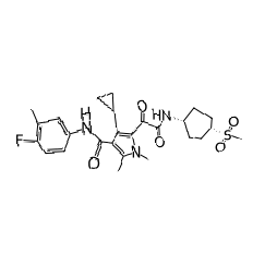 Cc1cc(NC(=O)c2c(C3CC3)c(C(=O)C(=O)N[C@H]3CC[C@@H](S(C)(=O)=O)CC3)n(C)c2C)ccc1F